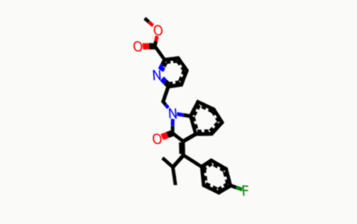 COC(=O)c1cccc(CN2C(=O)/C(=C(/c3ccc(F)cc3)C(C)C)c3ccccc32)n1